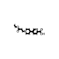 CCOC(=O)CCN1CCC(c2ccc(C(=O)O)nc2)CC1